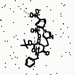 CC(C)(C)OC(=O)N[C@@H](Cc1cn(-c2ccc([N+](=O)[O-])cc2[N+](=O)[O-])cn1)C(=O)NCc1ccccc1